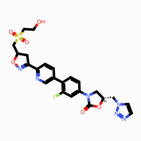 O=C1O[C@@H](Cn2ccnn2)CN1c1ccc(-c2ccc(C3=NOC(CS(=O)(=O)CCO)C3)nc2)c(F)c1